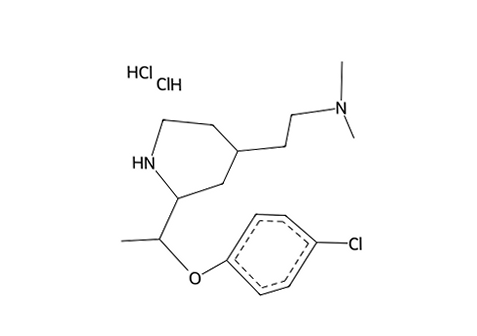 CC(Oc1ccc(Cl)cc1)C1CC(CCN(C)C)CCN1.Cl.Cl